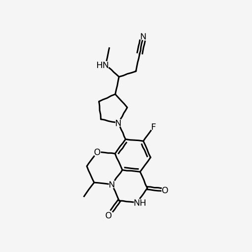 CNC(CC#N)C1CCN(c2c(F)cc3c(=O)[nH]c(=O)n4c3c2OCC4C)C1